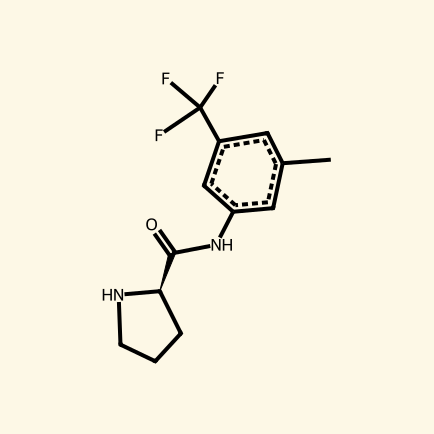 Cc1cc(NC(=O)[C@H]2CCCN2)cc(C(F)(F)F)c1